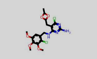 COc1cc(CNc2nc(N)nc(Cl)c2CC2OC(C)O2)c(Cl)c(OC)c1OC